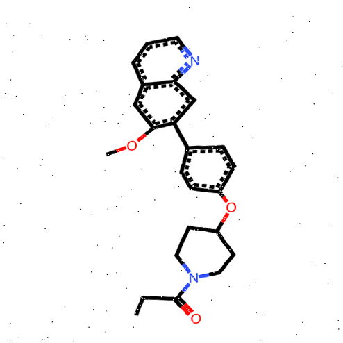 CCC(=O)N1CCC(Oc2ccc(-c3cc4ncccc4cc3OC)cc2)CC1